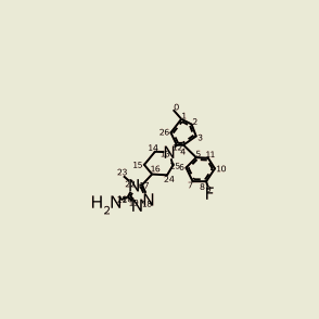 Cc1ccc(-c2ccc(F)cc2)c(N2CCC(c3nnc(N)n3C)CC2)c1